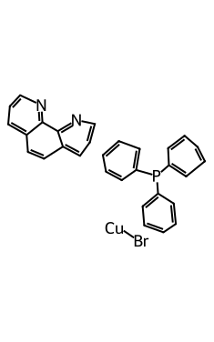 [Cu][Br].c1ccc(P(c2ccccc2)c2ccccc2)cc1.c1cnc2c(c1)ccc1cccnc12